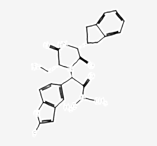 CC(C)C[C@@H]1C(=O)N[C@H](C2Cc3ccccc3C2)C(=O)N1[C@@H](C(=O)N(C)C)c1ccc2oc(F)cc2c1